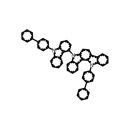 c1ccc(-c2ccc(-n3c4ccccc4c4c(-n5c6ccccc6c6c5ccc5c7ccccc7n(-c7ccc(-c8ccccc8)cc7)c56)cccc43)cc2)cc1